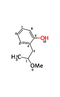 COC(C)Cc1ccccc1O